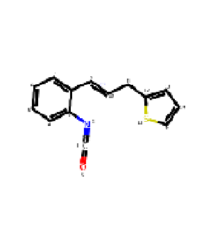 O=C=Nc1ccccc1/C=C/Cc1cccs1